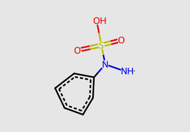 [NH]N(c1ccccc1)S(=O)(=O)O